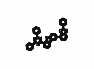 c1ccc(-c2nc(-c3ccccc3)nc(-c3cccc4c3sc3ccc(-c5cccc6nc(-c7ccccc7)oc56)cc34)n2)cc1